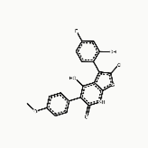 COc1ccc(-c2c(O)c3c(-c4ccc(F)cc4O)c(Cl)sc3[nH]c2=O)cc1